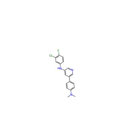 CN(C)c1ccc(-c2cncc(Nc3ccc(F)c(Cl)c3)c2)cc1